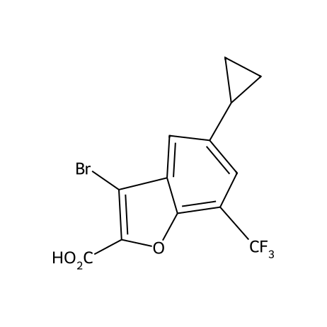 O=C(O)c1oc2c(C(F)(F)F)cc(C3CC3)cc2c1Br